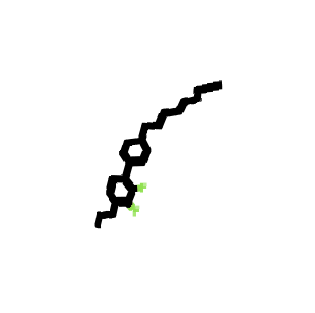 C=CCCCCCCC1CC=C(c2ccc(CCC)c(F)c2F)CC1